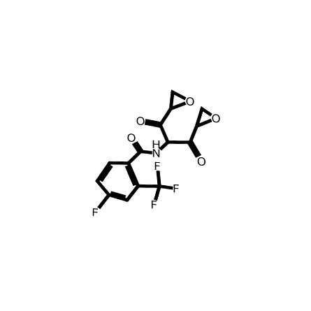 O=C(NC(C(=O)C1CO1)C(=O)C1CO1)c1ccc(F)cc1C(F)(F)F